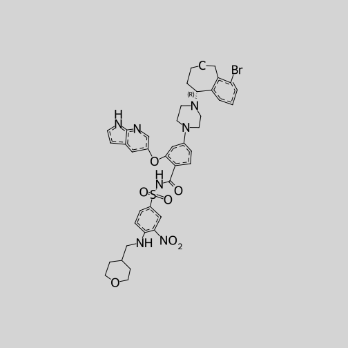 O=C(NS(=O)(=O)c1ccc(NCC2CCOCC2)c([N+](=O)[O-])c1)c1ccc(N2CCN([C@@H]3CCCCc4c(Br)cccc43)CC2)cc1Oc1cnc2[nH]ccc2c1